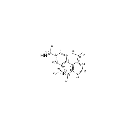 CC(=N)c1ccc(-c2c(C(C)C)cccc2C(C)C)c(C(C)=O)n1